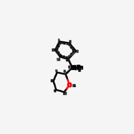 [Zn].c1ccc([SiH2]C2CCCCO2)cc1